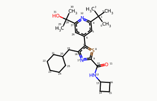 CC(C)(C)c1cc(-c2sc(C(=O)NC3CCC3)nc2CC2CCCCC2)cc(C(C)(C)O)n1